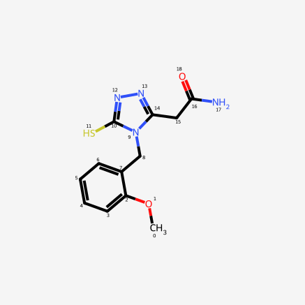 COc1ccccc1Cn1c(S)nnc1CC(N)=O